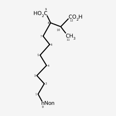 CCCCCCCCCCCCCCCCC(C(=O)O)C(C)C(=O)O